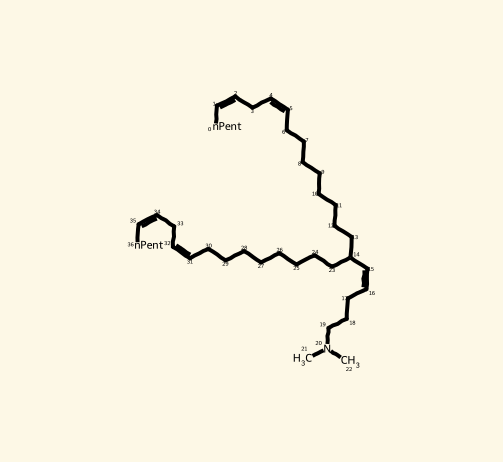 CCCCC/C=C\C/C=C\CCCCCCCCC(/C=C\CCCN(C)C)CCCCCCCC/C=C\C/C=C\CCCCC